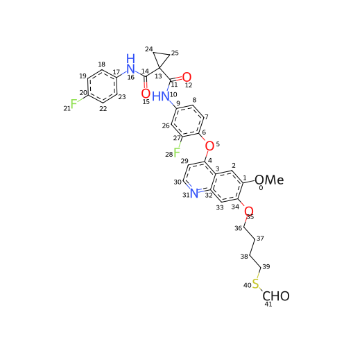 COc1cc2c(Oc3ccc(NC(=O)C4(C(=O)Nc5ccc(F)cc5)CC4)cc3F)ccnc2cc1OCCCCSC=O